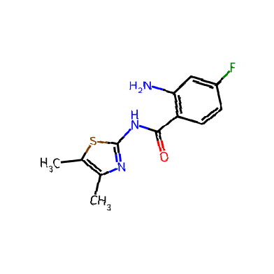 Cc1nc(NC(=O)c2ccc(F)cc2N)sc1C